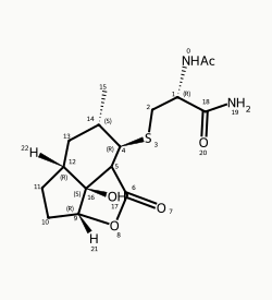 CC(=O)N[C@@H](CS[C@H]1C2C(=O)O[C@@H]3CC[C@H](C[C@@H]1C)[C@]23O)C(N)=O